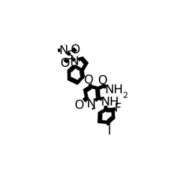 CN(C)S(=O)(=O)n1ccc2c(Oc3cc(=O)n(C)c(Nc4ccc(I)cc4F)c3C(N)=O)cccc21